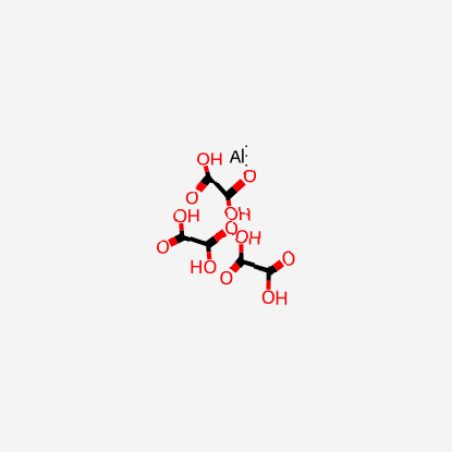 O=C(O)C(=O)O.O=C(O)C(=O)O.O=C(O)C(=O)O.[Al]